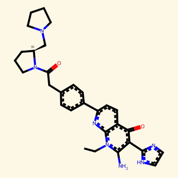 CCn1c(N)c(-c2ncc[nH]2)c(=O)c2ccc(-c3ccc(CC(=O)N4CCC[C@H]4CN4CCCC4)cc3)nc21